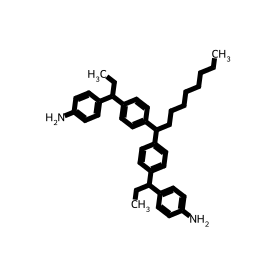 CCCCCCCCC(c1ccc(C(CC)c2ccc(N)cc2)cc1)c1ccc(C(CC)c2ccc(N)cc2)cc1